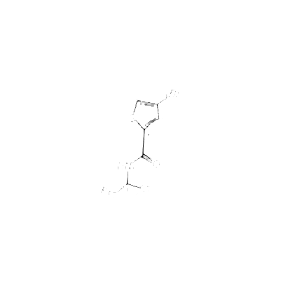 CCC(CC)NC(=O)c1cc(Br)cs1